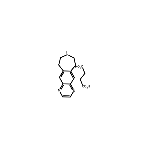 O=C(O)CCC(=O)O.c1cnc2cc3c(cc2n1)CCNCC3